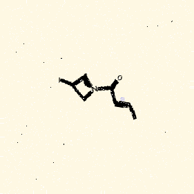 C/C=C/C(=O)N1CC(I)C1